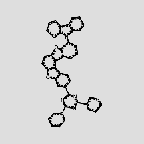 c1ccc(-c2nc(-c3ccccc3)nc(-c3ccc4c(c3)oc3ccc5oc6c(-n7c8ccccc8c8ccccc87)cccc6c5c34)n2)cc1